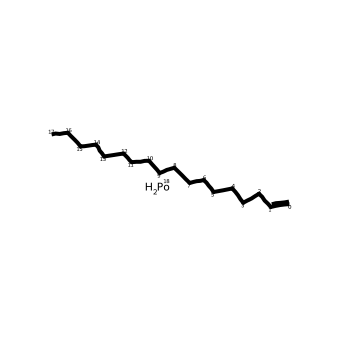 C=CCCCCCCCCCCCCCCCC.[PoH2]